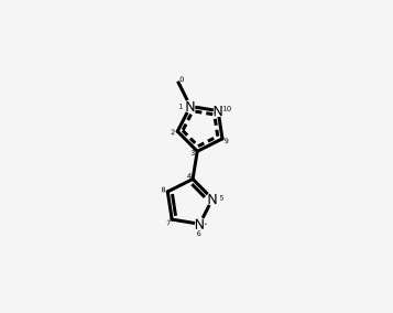 Cn1cc(C2=N[N]C=C2)cn1